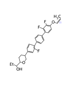 C/C=C\Oc1ccc(-c2ccc(-c3ccc(C4CCC(C(O)CC)OC4)cc3F)cc2)c(F)c1F